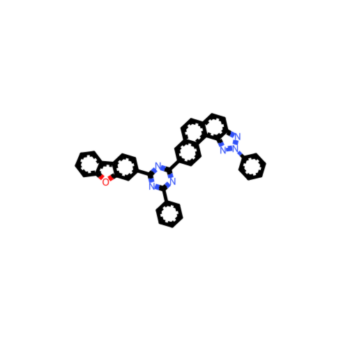 c1ccc(-c2nc(-c3ccc4c(ccc5ccc6nn(-c7ccccc7)nc6c54)c3)nc(-c3ccc4c(c3)oc3ccccc34)n2)cc1